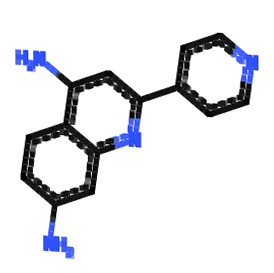 Nc1ccc2c(N)cc(-c3ccncc3)nc2c1